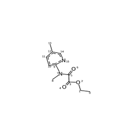 CCOC(=O)C(=O)N(C)c1ccc(C)cn1